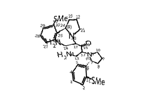 CSc1ccccc1[C@H]1CCCN1C(CN)C(=O)C(CN)N1CCC[C@@H]1c1ccccc1SC